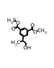 [CH2]C(CO)c1cc(C(=O)OC)cc(C(=O)OC)c1